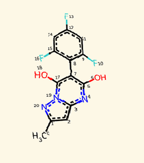 Cc1cc2nc(O)c(-c3c(F)cc(F)cc3F)c(O)n2n1